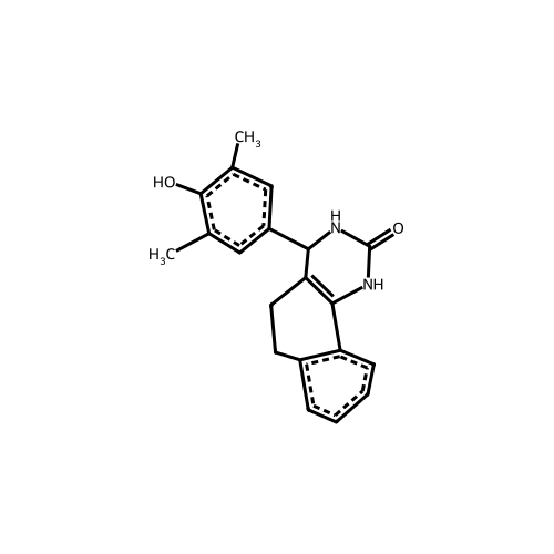 Cc1cc(C2NC(=O)NC3=C2CCc2ccccc23)cc(C)c1O